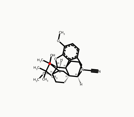 COc1ccc2c3c1O[C@H]1[C@]4(OC)CC[C@@]5(C[C@@H]4C(C)(O)C(C)(C)C)[C@@H](C2)N(C#N)CC[C@]315